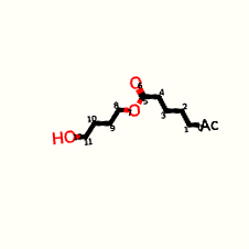 CC(=O)CCCCC(=O)OCCCCO